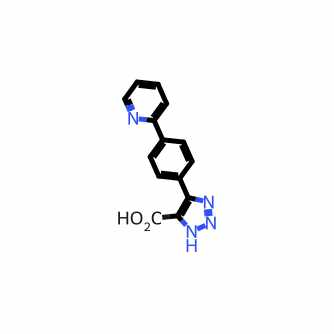 O=C(O)c1[nH]nnc1-c1ccc(-c2ccccn2)cc1